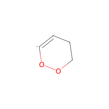 [C]1=CCCOO1